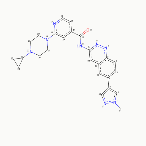 Cn1cc(-c2ccc3nnc(NC(=O)c4ccnc(N5CCN(C6CC6)CC5)c4)cc3c2)cn1